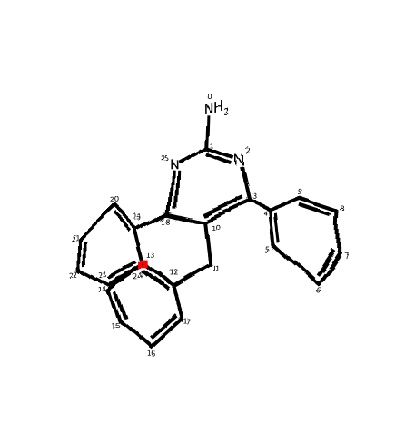 Nc1nc(-c2ccccc2)c(Cc2ccccc2)c(-c2ccccc2)n1